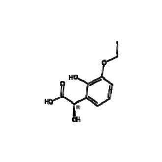 CCOc1cccc([C@@H](O)C(=O)O)c1O